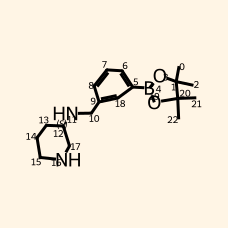 CC1(C)OB(c2cccc(CN[C@H]3CCCNC3)c2)OC1(C)C